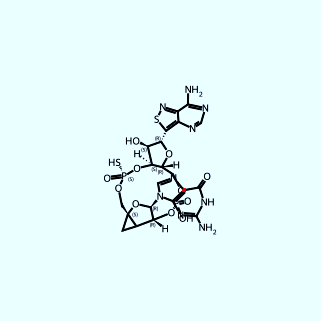 Nc1nc2c(ncn2[C@@H]2O[C@]34CO[P@](=O)(S)O[C@H]5[C@@H](O)[C@H](c6snc7c(N)ncnc67)O[C@@H]5COP(=O)(O)O[C@@H]2C3C4)c(=O)[nH]1